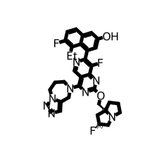 CCc1c(F)ccc2cc(O)cc(-c3ncc4c(N5CCCn6nncc6C5)nc(OC[C@@]56CCCN5C[C@H](F)C6)nc4c3F)c12